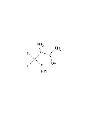 CC(O)C(N)C(F)(F)F.Cl